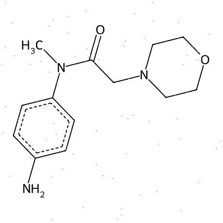 CN(C(=O)CN1CCOCC1)c1ccc(N)cc1